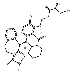 CC(C)N[C@H](N)C(=O)OCOc1c2n(ccc1=O)N([C@@H]1c3ccccc3SCc3c1ccc(F)c3F)[C@@H]1COCCN1C2=O